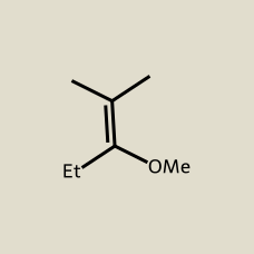 CCC(OC)=C(C)C